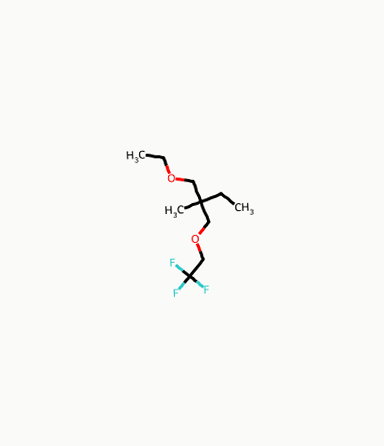 CCOCC(C)(CC)COCC(F)(F)F